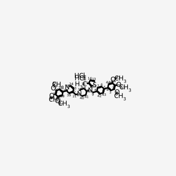 COc1cc(-c2ccc(CN(c3sccc3C)C3CCN(Cc4ccnc(-c5cc(OC)c(OC)c(OC)c5)c4)CC3)cc2)cc(OC)c1OC.Cl.Cl